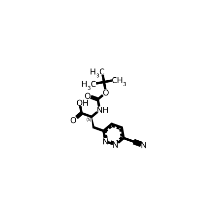 CC(C)(C)OC(=O)N[C@@H](Cc1ccc(C#N)nn1)C(=O)O